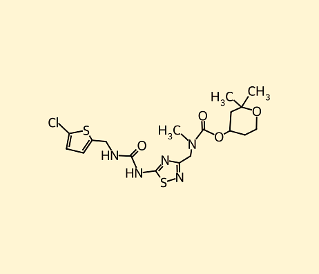 CN(Cc1nsc(NC(=O)NCc2ccc(Cl)s2)n1)C(=O)OC1CCOC(C)(C)C1